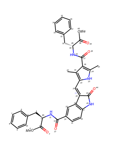 COC(=O)[C@@H](Cc1ccccc1)NC(=O)c1ccc2c(c1)/C(=C/c1[nH]c(C)c(C(=O)N[C@H](Cc3ccccc3)C(=O)OC)c1C)C(=O)N2